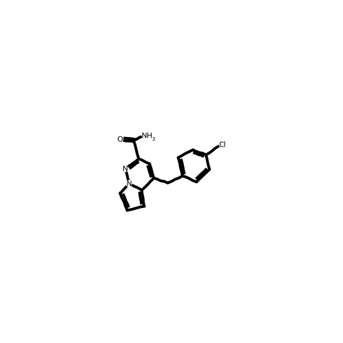 NC(=O)c1cc(Cc2ccc(Cl)cc2)c2cccn2n1